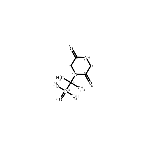 CC(C)(N1CC(=O)NCC1=O)P(=O)(O)O